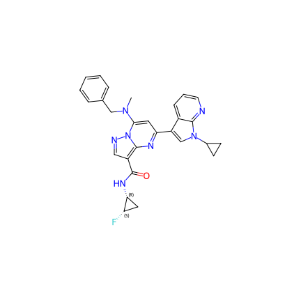 CN(Cc1ccccc1)c1cc(-c2cn(C3CC3)c3ncccc23)nc2c(C(=O)N[C@@H]3C[C@@H]3F)cnn12